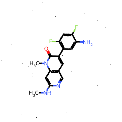 CNc1cc2c(cn1)cc(-c1cc(N)c(F)cc1F)c(=O)n2C